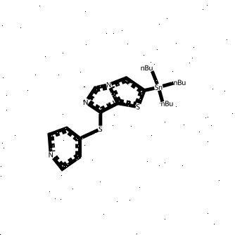 CCC[CH2][Sn]([CH2]CCC)([CH2]CCC)[c]1cn2cnc(Sc3ccncc3)c2s1